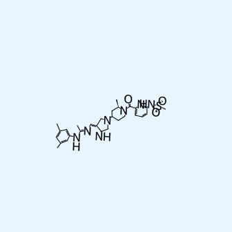 C/C(=N\C=C1\CN([C@@H]2CCN(C(=O)c3cccc(NS(C)(=O)=O)n3)[C@H](C)C2)CC1=N)Nc1cc(C)cc(C)c1